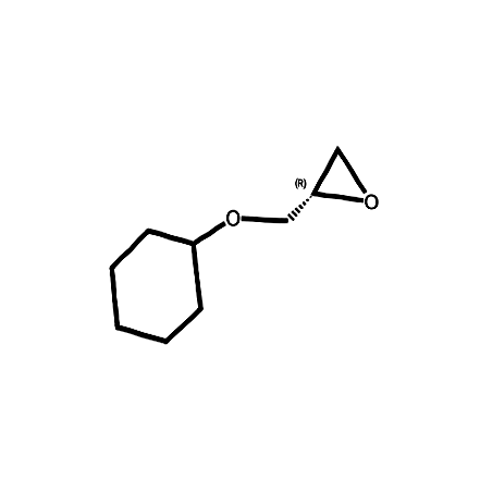 C1CCC(OC[C@@H]2CO2)CC1